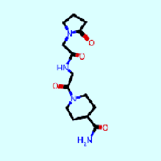 NC(=O)C1CCN(C(=O)CNC(=O)CN2CCCC2=O)CC1